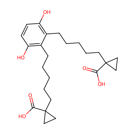 O=C(O)C1(CCCCCc2c(O)ccc(O)c2CCCCCC2(C(=O)O)CC2)CC1